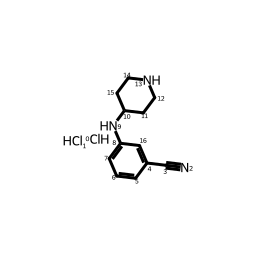 Cl.Cl.N#Cc1cccc(NC2CCNCC2)c1